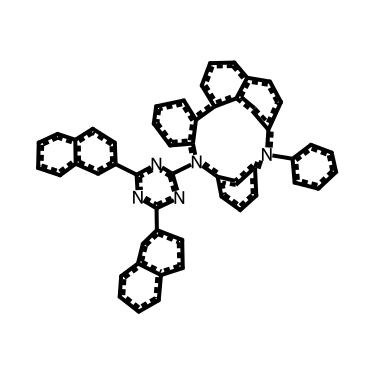 c1ccc(-n2c3ccc4cccc(c4c3)c3ccccc3n(-c3nc(-c4ccc5ccccc5c4)nc(-c4ccc5ccccc5c4)n3)c3cccc2c3)cc1